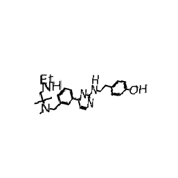 CCNCC(C)(C)N(C)Cc1cccc(-c2ccnc(NCCc3ccc(O)cc3)n2)c1